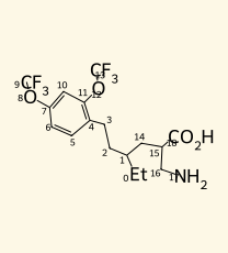 CCC(CCc1ccc(OC(F)(F)F)cc1OC(F)(F)F)CC(CN)C(=O)O